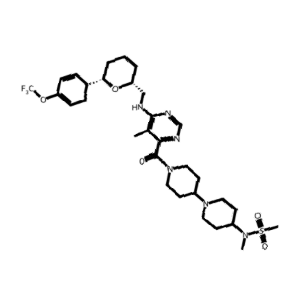 Cc1c(NC[C@H]2CCC[C@@H](C3C=CC(OC(F)(F)F)=CC3)O2)ncnc1C(=O)N1CCC(N2CCC(N(C)S(C)(=O)=O)CC2)CC1